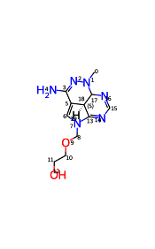 CN1N=C(N)C2=CN(COCCO)C3=NC=NC1[C@H]23